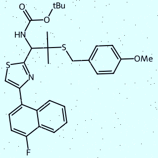 COc1ccc(CSC(C)(C)C(NC(=O)OC(C)(C)C)c2nc(-c3ccc(F)c4ccccc34)cs2)cc1